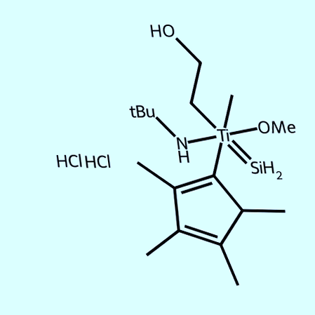 C[O][Ti]([CH3])(=[SiH2])([CH2]CO)([NH]C(C)(C)C)[C]1=C(C)C(C)=C(C)C1C.Cl.Cl